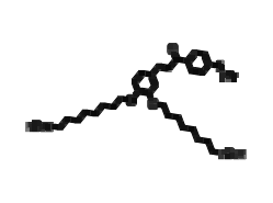 CCCCCCCCCCCCCCCCCCOc1ccc(C=CC(=O)c2ccc(SCCC)cc2)cc1OCCCCCCCCCCCCCCCCCC